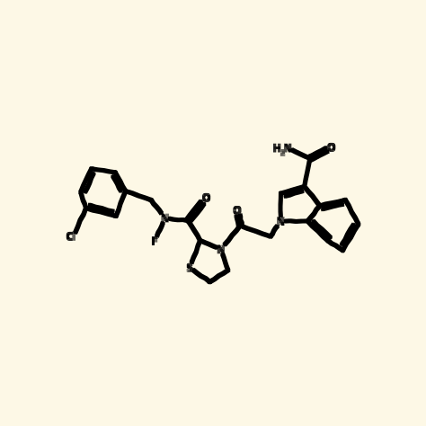 NC(=O)c1cn(CC(=O)N2CCSC2C(=O)N(F)Cc2cccc(Cl)c2)c2ccccc12